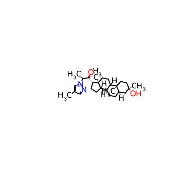 Cc1cnn([C@@H](C)C(=O)[C@H]2CC[C@H]3[C@@H]4CC[C@@H]5C[C@](C)(O)CC[C@]5(C)[C@H]4CC[C@]23C)c1